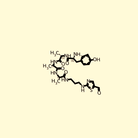 C[C@H](NC(=O)[C@H](C)NC(=O)[C@H](C)NC(=O)[C@@H](N)Cc1ccc(O)cc1)C(=O)NCCCNc1ncc(C=O)s1